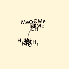 COc1cc(OC)c(CNCC(O)CCCCCCCCCc2nc3c(c(=O)[nH]c(=O)n3C)n2C)c(OC)c1